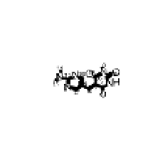 CN1C(=O)NC(=O)/C(=C/c2cnc(N(C)C)nc2)C1=O